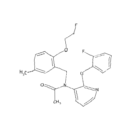 CC(=O)N(Cc1cc(C)ccc1OCCF)c1cccnc1Oc1ccccc1F